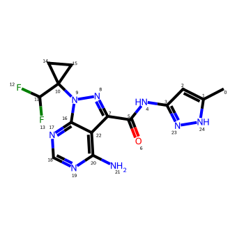 Cc1cc(NC(=O)c2nn(C3(C(F)F)CC3)c3ncnc(N)c23)n[nH]1